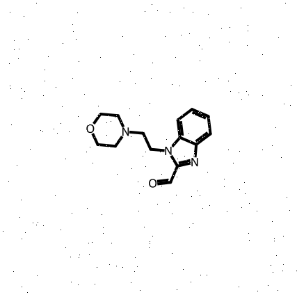 O=Cc1nc2ccccc2n1CCN1CCOCC1